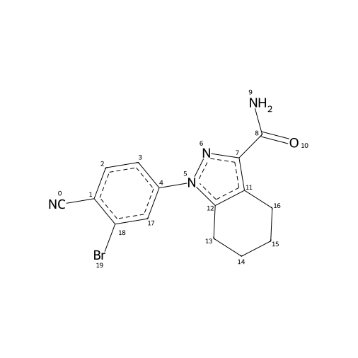 N#Cc1ccc(-n2nc(C(N)=O)c3c2CCCC3)cc1Br